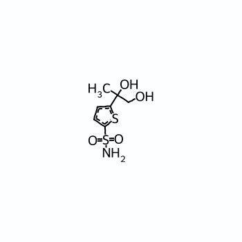 CC(O)(CO)c1ccc(S(N)(=O)=O)s1